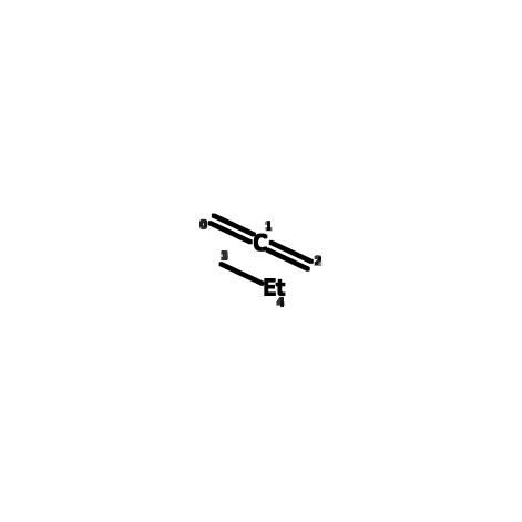 C=C=C.CCC